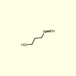 OCCCN=P